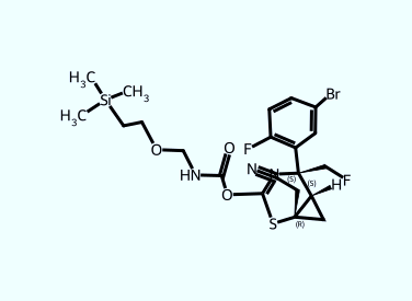 C[Si](C)(C)CCOCNC(=O)OC1=N[C@](CF)(c2cc(Br)ccc2F)[C@@H]2C[C@]2(CC#N)S1